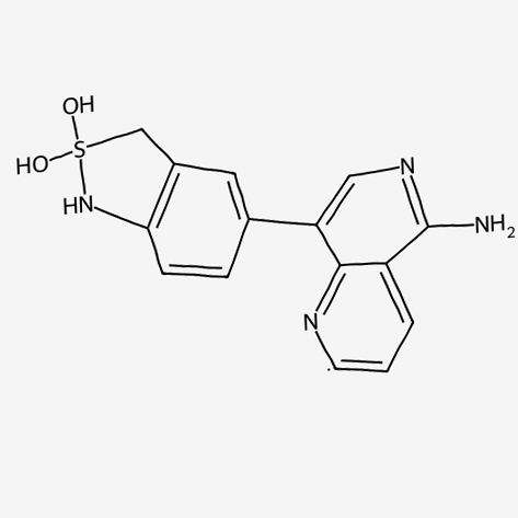 Nc1ncc(-c2ccc3c(c2)CS(O)(O)N3)c2n[c]ccc12